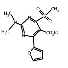 CCOC(=O)c1c(-c2ccco2)nc(N(C)C)nc1S(C)(=O)=O